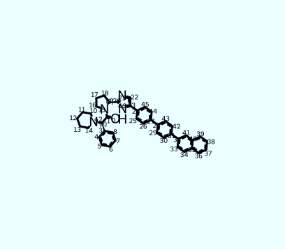 O=C([C@@H](c1ccccc1)N1CCCCC1)N1CCC[C@H]1c1ncc(-c2ccc(-c3ccc(-c4ccc5ccccc5c4)cc3)cc2)[nH]1